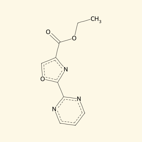 CCOC(=O)c1coc(-c2ncccn2)n1